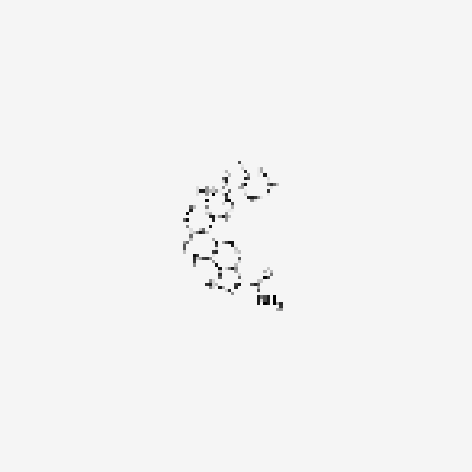 Cc1ccc(S(=O)(=O)Nc2ccc(F)c(-c3ccc4c(C(N)=O)n[nH]c4c3F)c2F)c(C)n1